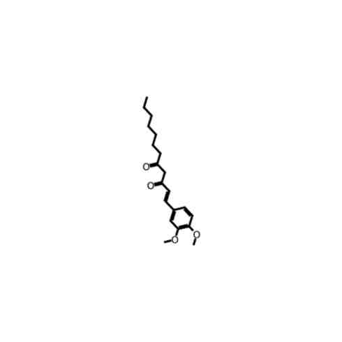 CCCCCCCC(=O)CC(=O)C=Cc1ccc(OC)c(OC)c1